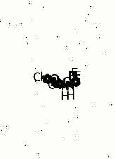 O=C(Nc1cccc(C(F)(F)F)c1)NC1CCN(S(=O)(=O)c2ccc(Cl)cc2)CC1